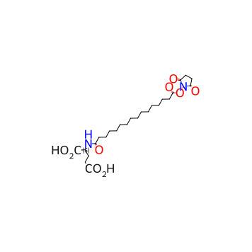 O=C(O)CC[C@H](NC(=O)CCCCCCCCCCCCCCC(=O)ON1C(=O)CCC1=O)C(=O)O